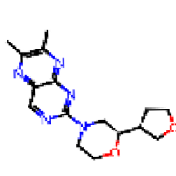 Cc1nc2cnc(N3CCO[C@H]([C@H]4CCOC4)C3)nc2nc1C